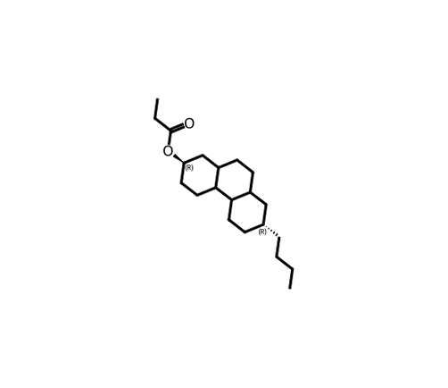 CCCC[C@@H]1CCC2C(CCC3C[C@H](OC(=O)CC)CCC32)C1